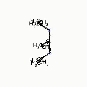 CC(C)C(C)OC(=O)CCCCCCC/C=C\CCCCCCCCC(CCCCCCCC/C=C\CCCCCCCC(=O)OC(C)C(C)C)OC(=O)CCCN(C)C